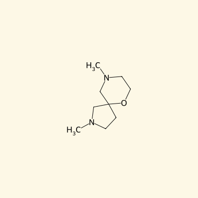 CN1CCOC2(CCN(C)C2)C1